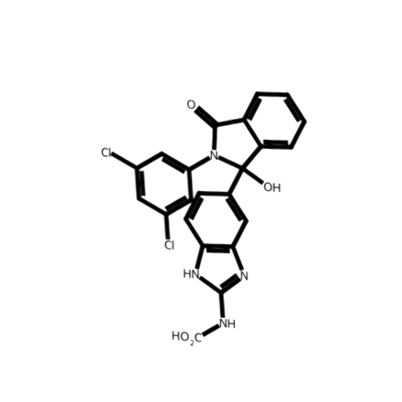 O=C(O)Nc1nc2cc(C3(O)c4ccccc4C(=O)N3c3cc(Cl)cc(Cl)c3)ccc2[nH]1